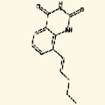 CCC/C=C/c1cccc2c(=O)[nH]c(=O)[nH]c12